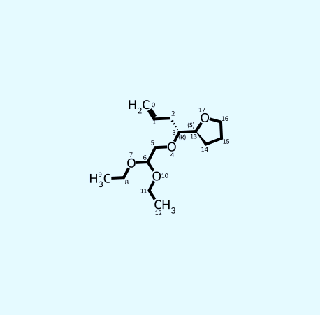 C=CC[C@@H](OCC(OCC)OCC)[C@@H]1CCCO1